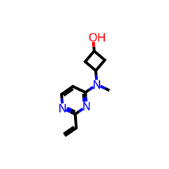 C=Cc1nccc(N(C)C2CC(O)C2)n1